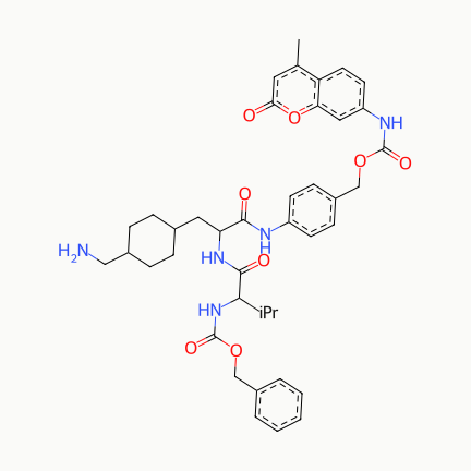 Cc1cc(=O)oc2cc(NC(=O)OCc3ccc(NC(=O)C(CC4CCC(CN)CC4)NC(=O)C(NC(=O)OCc4ccccc4)C(C)C)cc3)ccc12